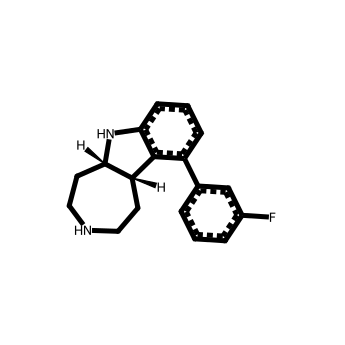 Fc1cccc(-c2cccc3c2[C@@H]2CCNCC[C@@H]2N3)c1